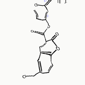 C=C/C(=C\C(Cl)=C/N)OC(=O)c1cc2cc(CCl)ccc2oc1=O